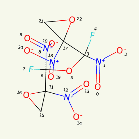 O=[N+]([O-])C(F)(OC(F)([N+](=O)[O-])C1([N+](=O)[O-])CO1)C1([N+](=O)[O-])CO1